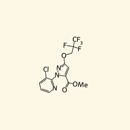 COC(=O)c1cc(OCC(F)(F)C(F)(F)F)nn1-c1ncccc1Cl